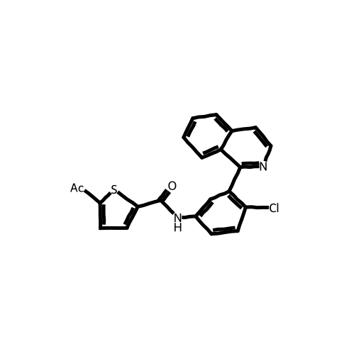 CC(=O)c1ccc(C(=O)Nc2ccc(Cl)c(-c3nccc4ccccc34)c2)s1